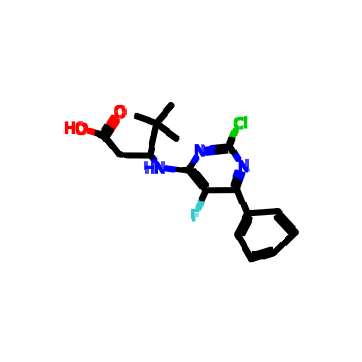 CC(C)(C)C(CC(=O)O)Nc1nc(Cl)nc(-c2ccccc2)c1F